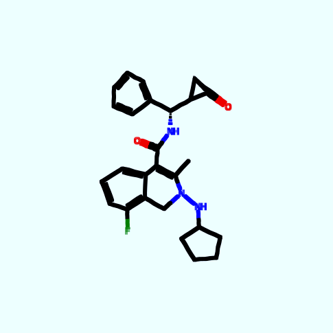 CC1=C(C(=O)N[C@H](c2ccccc2)C2CC2=O)c2cccc(F)c2CN1NC1CCCC1